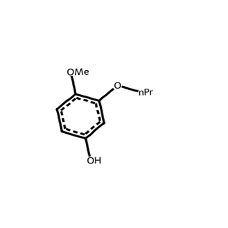 CCCOc1cc(O)ccc1OC